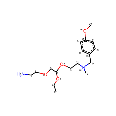 CCOC(COCCN)OCCN(C)Cc1ccc(OC)cc1